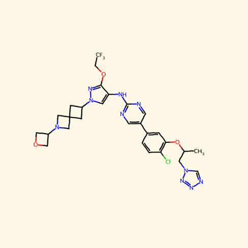 CC(Cn1cnnn1)Oc1cc(-c2cnc(Nc3cn(C4CC5(C4)CN(C4COC4)C5)nc3OCC(F)(F)F)nc2)ccc1Cl